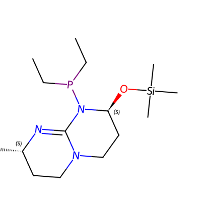 CCP(CC)N1C2=N[C@@H](C)CCN2CC[C@@H]1O[Si](C)(C)C